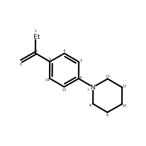 C=C(CC)c1ccc(N2CCCCC2)cc1